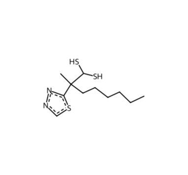 CCCCCCC(C)(c1nncs1)C(S)S